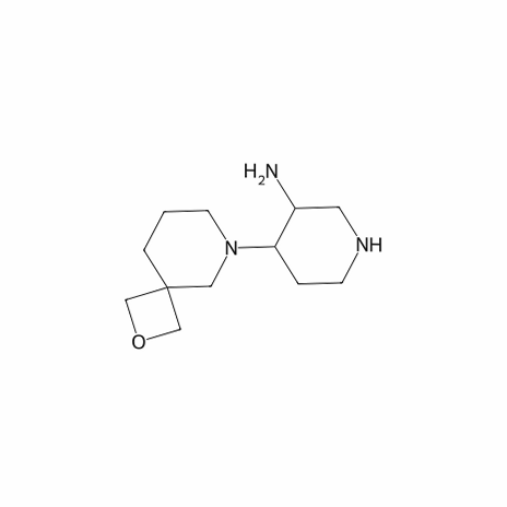 NC1CNCCC1N1CCCC2(COC2)C1